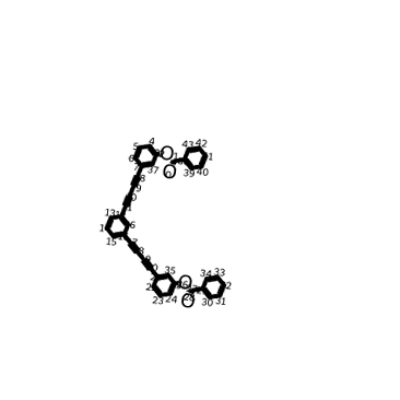 O=C(Oc1cccc(C#CC#Cc2cccc(C#CC#Cc3cccc(OC(=O)c4ccccc4)c3)c2)c1)c1ccccc1